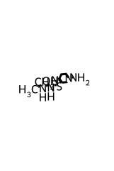 CC(C)N[C@H](O)Nc1nc2c(s1)CN(N)CC2